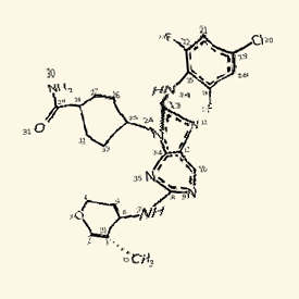 C[C@@H]1COCCC1Nc1ncc2nc(Nc3c(F)cc(Cl)cc3F)n(C3CCC(C(N)=O)CC3)c2n1